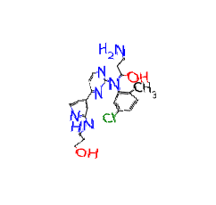 Cc1ccc(Cl)cc1N(c1nccc(-c2ccnc(NCCCO)c2)n1)C(O)CCN